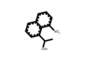 CC(=O)OC(C)c1cccc2cccc([N+](=O)[O-])c12